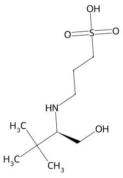 CC(C)(C)[C@H](CO)NCCCS(=O)(=O)O